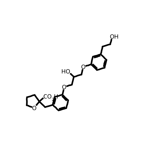 O=C(O)C1(Cc2cccc(OCC(O)COc3cccc(CCO)c3)c2)CCCO1